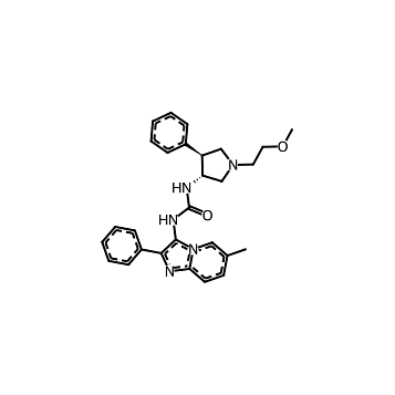 COCCN1C[C@H](NC(=O)Nc2c(-c3ccccc3)nc3ccc(C)cn23)[C@@H](c2ccccc2)C1